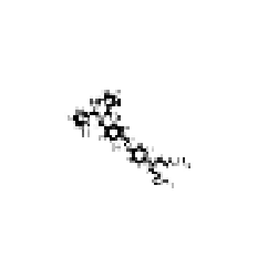 CCCN(CCC)[C@H]1CC[C@H](NCc2ccc(CN(Cc3ncc[nH]3)C(=O)c3ncc[nH]3)cc2)CC1